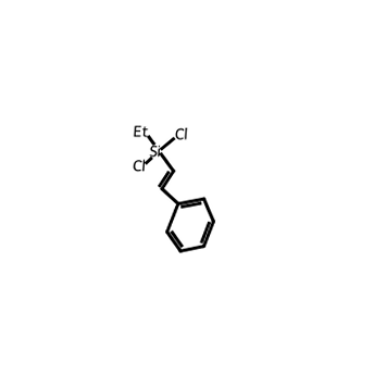 CC[Si](Cl)(Cl)C=Cc1ccccc1